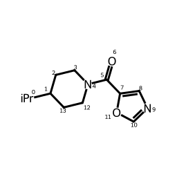 CC(C)C1CCN(C(=O)c2cnco2)CC1